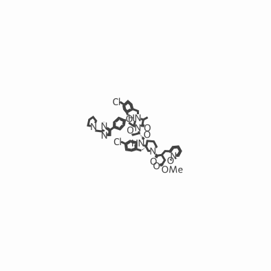 COC(=O)CC(Cc1cccc[n+]1[O-])C(=O)N1CCC[C@](Cc2ccc(Cl)cc2)(NC(=O)[C@@H]2COC(C)(C)N2C(=O)C(C)NCc2ccc(Cl)cc2Oc2ccc(-c3cnc(CN4CCCC4)n3C)cc2)C1